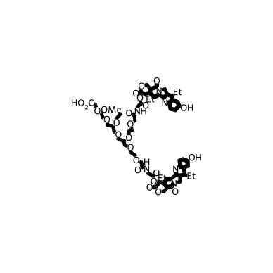 CCc1c2c(nc3ccc(O)cc13)-c1cc3c(c(=O)n1C2)COC(=O)[C@@]3(CC)OC(=O)CNC(=O)COCCOCC(COCC(COCCOCC(=O)O)OCCOC)OCCOCC(=O)NCC(=O)O[C@]1(CC)C(=O)OCc2c1cc1n(c2=O)Cc2c-1nc1ccc(O)cc1c2CC